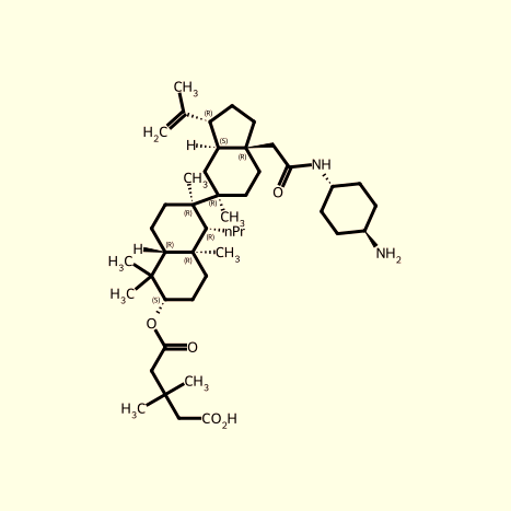 C=C(C)[C@@H]1CC[C@]2(CC(=O)N[C@H]3CC[C@H](N)CC3)CC[C@@](C)([C@]3(C)CC[C@H]4C(C)(C)[C@@H](OC(=O)CC(C)(C)CC(=O)O)CC[C@]4(C)[C@H]3CCC)C[C@@H]12